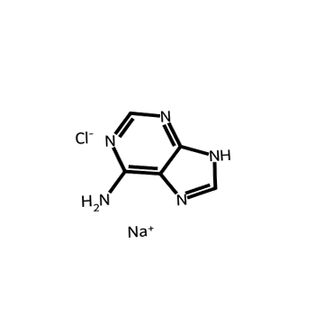 Nc1ncnc2[nH]cnc12.[Cl-].[Na+]